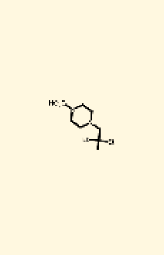 CCC(F)(CC)CN1CCN(C(=O)O)CC1